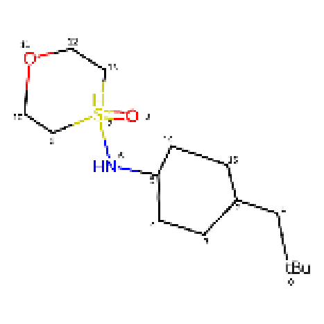 CC(C)(C)CC1CCC(N[SH]2(=O)CCOCC2)CC1